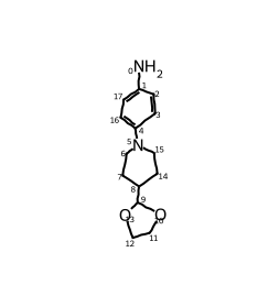 Nc1ccc(N2CCC(C3OCCO3)CC2)cc1